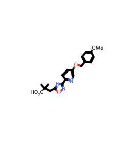 COc1ccc(COc2ccc(-c3noc(CC(C)(C)C(=O)O)n3)nc2)cc1